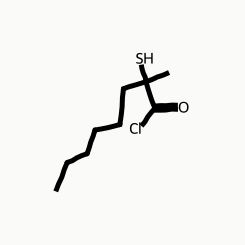 CCCCCCC(C)(S)C(=O)Cl